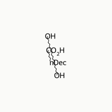 CCCCCCCCCCCCCCCC(=O)O.OCCCCCCCCCCCCCCCCCCO